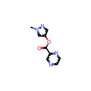 Cn1cc(OC(=O)c2cnccn2)cn1